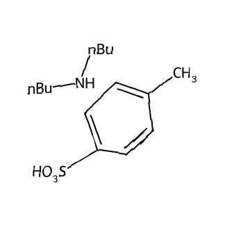 CCCCNCCCC.Cc1ccc(S(=O)(=O)O)cc1